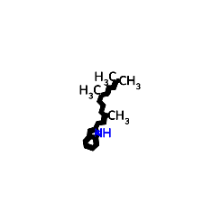 CC(C)=CC=CC(C)CCCC(C)=CCc1cc2ccccc2[nH]1